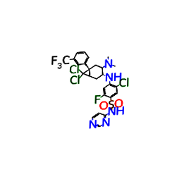 CN(C)[C@@H]1C[C@]2(c3cccc(C(F)(F)F)c3)C(C[C@H]1Nc1cc(F)c(S(=O)(=O)Nc3ccncn3)cc1Cl)C2(Cl)Cl